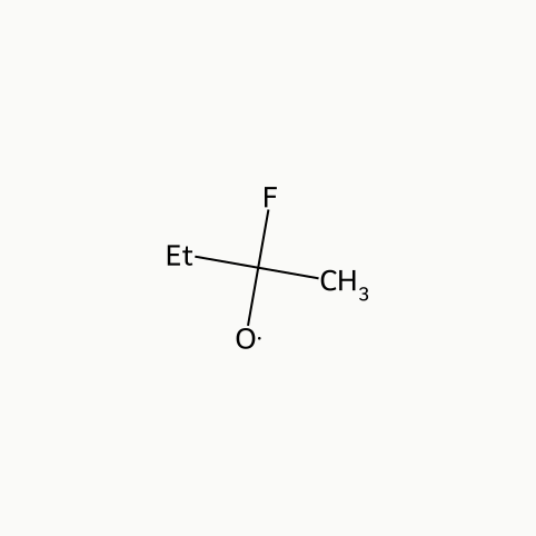 CCC(C)([O])F